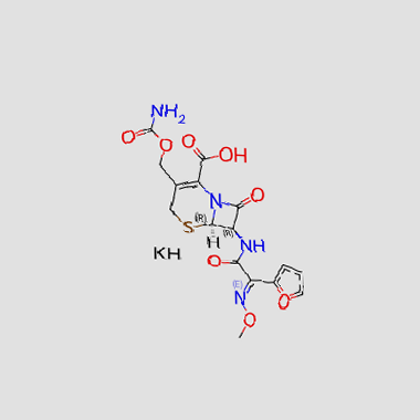 CO/N=C(/C(=O)N[C@@H]1C(=O)N2C(C(=O)O)=C(COC(N)=O)CS[C@H]12)c1ccco1.[KH]